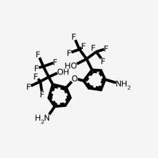 Nc1ccc(Oc2ccc(N)cc2C(O)(C(F)(F)F)C(F)(F)F)c(C(O)(C(F)(F)F)C(F)(F)F)c1